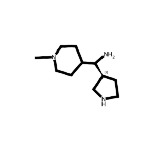 CN1CCC(C(N)[C@H]2CCNC2)CC1